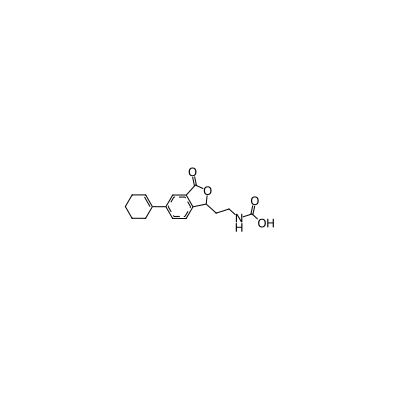 O=C(O)NCCC1OC(=O)c2cc(C3=CCCCC3)ccc21